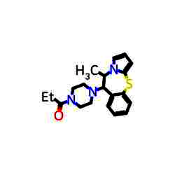 CCC(=O)N1CCN(C2c3ccccc3Sc3cccn3C2C)CC1